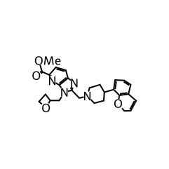 COC(=O)c1ccc2nc(CN3CCC(c4cccc5c4OCC=C5)CC3)n(CC3CCO3)c2n1